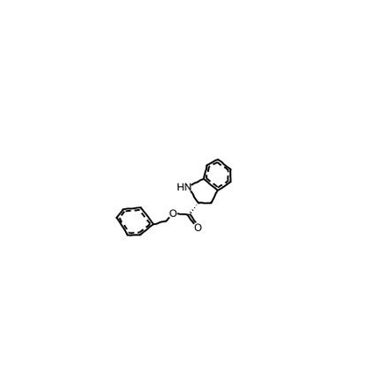 O=C(OCc1ccccc1)[C@H]1Cc2ccccc2N1